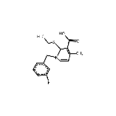 CCSC1C(C(=O)O)=C(C)C=CN1Cc1cccc(F)c1